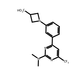 CN(C)c1nc(-c2cccc(N3CC(C(=O)O)C3)c2)cc(C(F)(F)F)n1